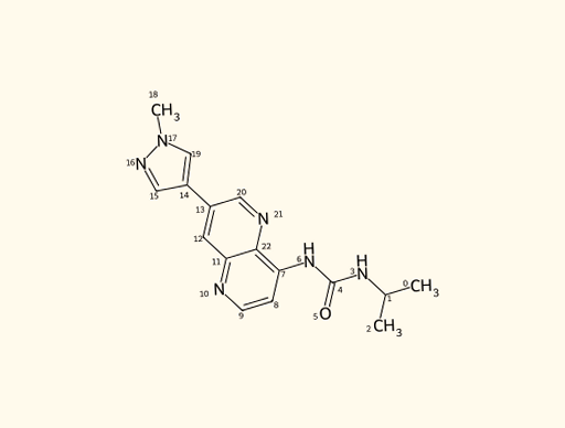 CC(C)NC(=O)Nc1ccnc2cc(-c3cnn(C)c3)cnc12